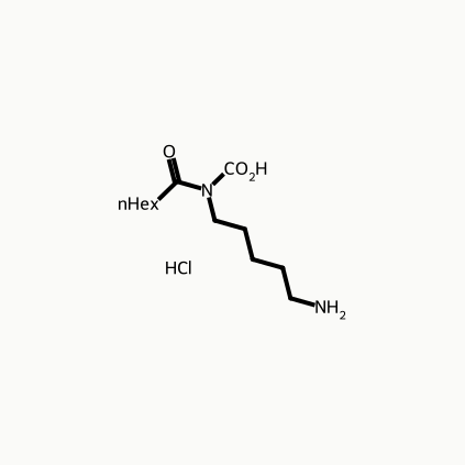 CCCCCCC(=O)N(CCCCCN)C(=O)O.Cl